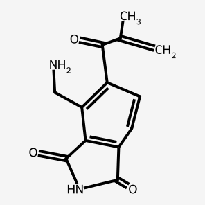 C=C(C)C(=O)c1ccc2c(c1CN)C(=O)NC2=O